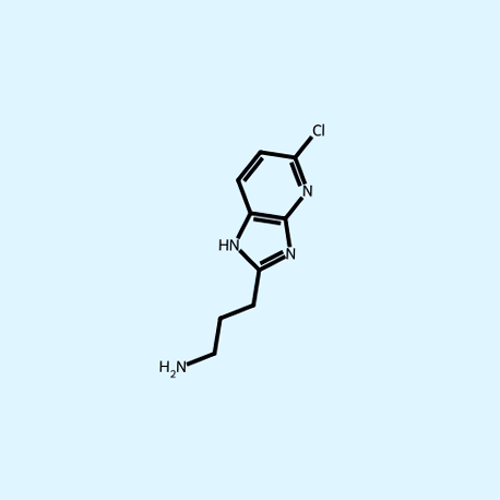 NCCCc1nc2nc(Cl)ccc2[nH]1